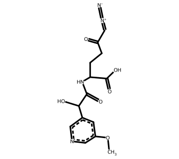 COc1cncc(C(O)C(=O)NC(CCC(=O)C=[N+]=[N-])C(=O)O)c1